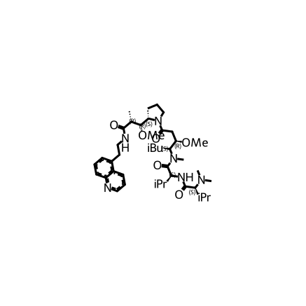 CC[C@H](C)C([C@@H](CC(=O)N1CCC[C@H]1[C@H](OC)[C@@H](C)C(=O)NCCc1cccc2ncccc12)OC)N(C)C(=O)[C@@H](NC(=O)[C@H](C(C)C)N(C)C)C(C)C